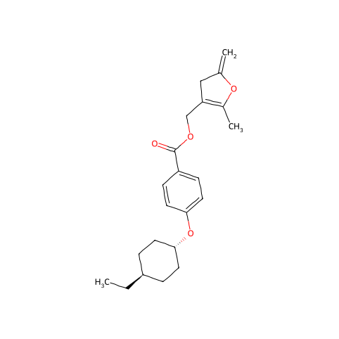 C=C1CC(COC(=O)c2ccc(O[C@H]3CC[C@H](CC)CC3)cc2)=C(C)O1